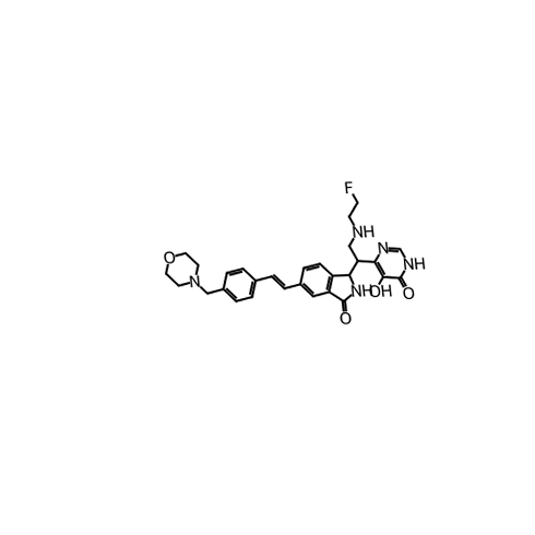 O=C1NC(C(CNCCF)c2nc[nH]c(=O)c2O)c2ccc(/C=C/c3ccc(CN4CCOCC4)cc3)cc21